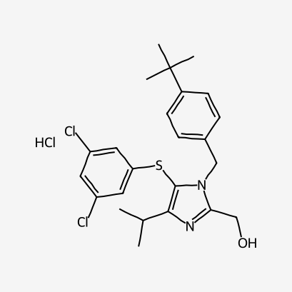 CC(C)c1nc(CO)n(Cc2ccc(C(C)(C)C)cc2)c1Sc1cc(Cl)cc(Cl)c1.Cl